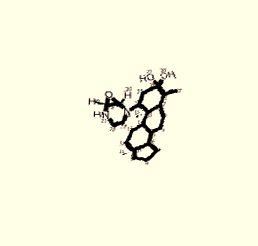 CC1C2CCC3C4CCC[C@@]4(C)CCC3[C@@]2(C)C(N2CCN[C@@H]3O[C@@H]32)CC1(O)O